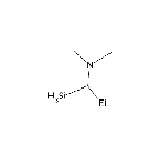 [CH2]CC([SiH3])N(C)C